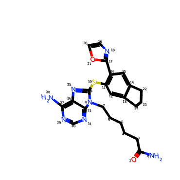 NC(=O)CCCCCn1c(Sc2cc3c(cc2-c2ncco2)CCC3)nc2c(N)ncnc21